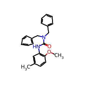 COc1ccc(C)cc1NC(=O)N(Cc1ccccc1)Cc1ccccc1